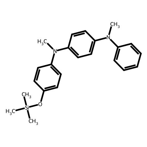 CN(c1ccccc1)c1ccc(N(C)c2ccc(O[Si](C)(C)C)cc2)cc1